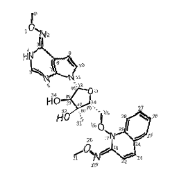 CON=c1[nH]cnc2c1ccn2[C@@H]1O[C@H](COn2c(=NOC)ccc3ccccc32)[C@@](C)(O)[C@H]1O